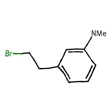 CNc1cccc(CCBr)c1